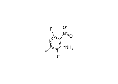 Nc1c(Cl)c(F)nc(F)c1[N+](=O)[O-]